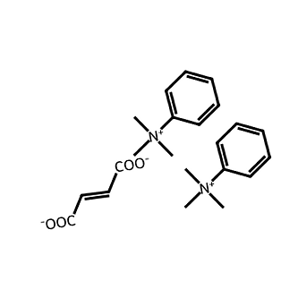 C[N+](C)(C)c1ccccc1.C[N+](C)(C)c1ccccc1.O=C([O-])C=CC(=O)[O-]